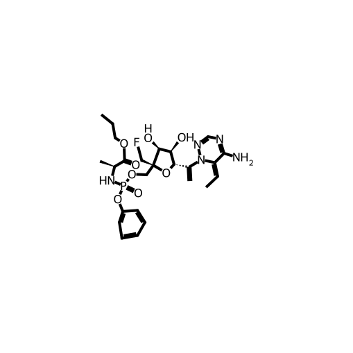 C=C([C@@H]1O[C@](CF)(COP(=O)(N[C@@H](C)C(=O)OCCC)Oc2ccccc2)[C@@H](O)[C@H]1O)N1N=CN=C(N)/C1=C/C